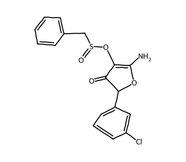 NC1=C(OS(=O)Cc2ccccc2)C(=O)C(c2cccc(Cl)c2)O1